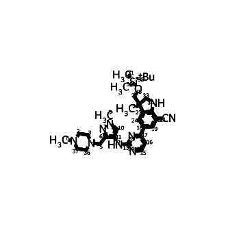 CN1CCN(Cc2nn(C)cc2Nc2nccc(-c3cc(C#N)c4c(c3)[C@@](C)(CO[Si](C)(C)C(C)(C)C)CN4)n2)CC1